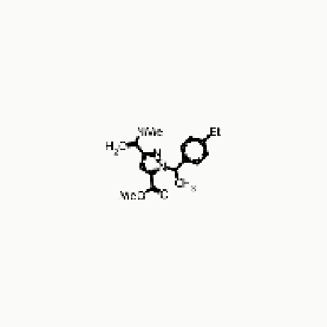 C=C(NC)c1cc(C(=O)OC)n(C(C)c2ccc(CC)cc2)n1